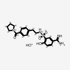 Cl.N=C(N)c1ccc(O)c(S(=O)(=O)NCCc2ccc(C(=O)N3CCCC3)cc2)c1